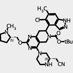 Cc1cc2[nH]ncc2c(C2Cc3nc(OC[C@@H]4CCCN4C)nc(N4CCN[C@@H](CC#N)C4)c3CN2C(=O)OC(C)(C)C)c1Cl